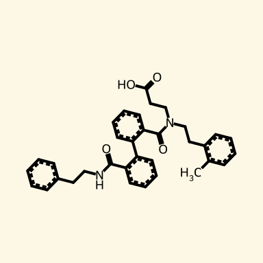 Cc1ccccc1CCN(CCC(=O)O)C(=O)c1ccccc1-c1ccccc1C(=O)NCCc1ccccc1